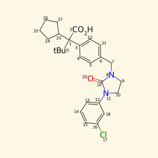 CC(C)(C)C(C(=O)O)(c1ccc(CN2CCN(c3cccc(Cl)c3)C2=O)cc1)C1CCCC1